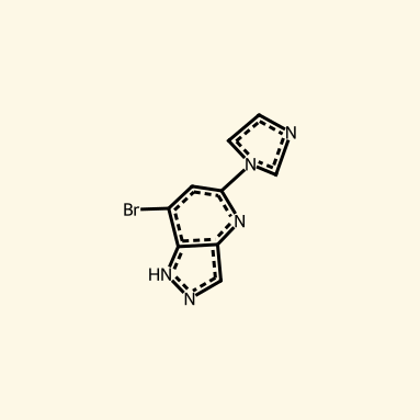 Brc1cc(-n2ccnc2)nc2cn[nH]c12